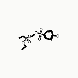 CCOP(=O)(CC)OCOS(=O)(=O)c1ccc(Cl)cc1